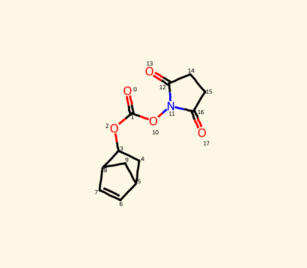 O=C(OC1CC2C=CC1C2)ON1C(=O)CCC1=O